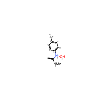 C=C(NC)N(O)c1ccc(C(C)=O)cc1